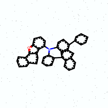 c1ccc(-c2ccc(N(c3ccccc3-c3cccc4ccccc34)c3cccc4oc5c6ccccc6ccc5c34)cc2)cc1